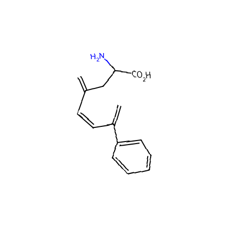 C=C(/C=C\C(=C)c1ccccc1)CC(N)C(=O)O